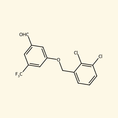 O=Cc1cc(OCc2cccc(Cl)c2Cl)cc(C(F)(F)F)c1